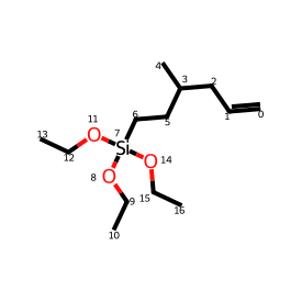 C=CCC(C)CC[Si](OCC)(OCC)OCC